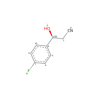 N#CC[C@H](O)c1ccc(F)cc1